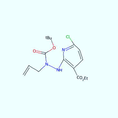 C=CCN(Nc1nc(Cl)ccc1C(=O)OCC)C(=O)OC(C)(C)C